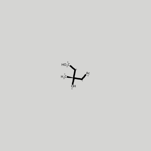 CC(=O)C[C@](C)(O)CC(=O)O